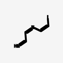 N=C/C=N\C=C/I